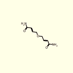 NC(=O)C=CCOCC=CC(N)=O